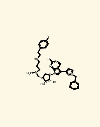 CN(CCCNCCc1ccc(F)cc1)C[C@H]1C[C@@H](n2cc(-c3ccn(Cc4ccccc4)n3)c3cnc(Cl)nc32)[C@H](O)[C@@H]1O